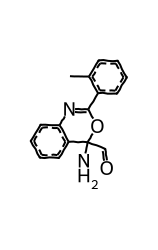 Cc1ccccc1C1=Nc2ccccc2C(N)(C=O)O1